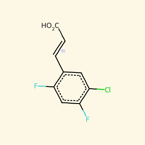 O=C(O)/C=C/c1cc(Cl)c(F)cc1F